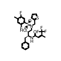 C/C(=C/C(=O)N[C@@H](Cc1ccccc1)[C@H](O)CN(Cc1cccs1)S(=O)(=O)c1cc(F)c(C)cc1F)C(F)(F)F